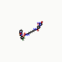 O=C(COc1c(-c2csc(N3C4CCCC3COC4)n2)ccc(F)c1F)NCCCCCCCCCCNC(=O)c1ccc(N2CCC(=O)NC2=O)cc1